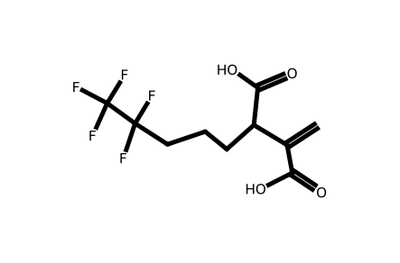 C=C(C(=O)O)C(CCCC(F)(F)C(F)(F)F)C(=O)O